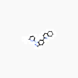 FC(F)(F)c1cccc(-n2ncc3ccc(-c4ccc5c(n4)CCCC5)cc32)n1